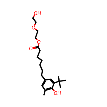 Cc1cc(CCCCCCC(=O)OCCOCCO)cc(C(C)(C)C)c1O